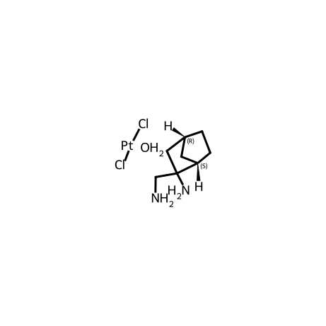 NCC1(N)C[C@@H]2CC[C@H]1C2.O.[Cl][Pt][Cl]